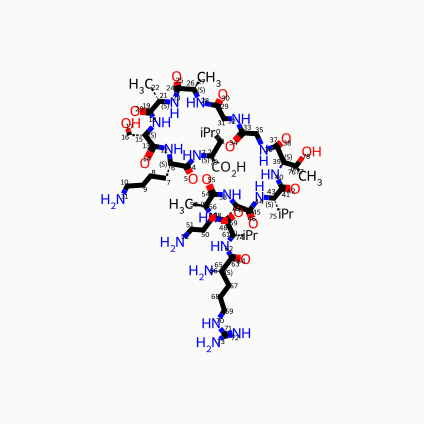 CC(C)C[C@H](NC(=O)[C@H](CCCCN)NC(=O)[C@H](CO)NC(=O)[C@H](C)NC(=O)[C@H](C)NC(=O)CNC(=O)CNC(=O)[C@@H](NC(=O)[C@@H](NC(=O)[C@H](CCCCN)NC(=O)[C@H](C)NC(=O)[C@@H](NC(=O)[C@@H](N)CCCNC(=N)N)C(C)C)C(C)C)[C@@H](C)O)C(=O)O